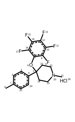 Cc1ccc(C2(Oc3c(F)c(F)c(F)c(F)c3F)CCN(C)CC2)cc1.Cl